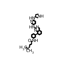 CN(C)C/C=C/C(=O)Nc1cccc(-c2cccc3cnc(Nc4ccc(NC5CCNC5)nc4)nc23)c1